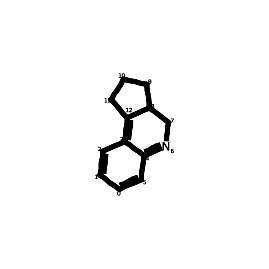 c1ccc2c(c1)=NCC1CCCC=21